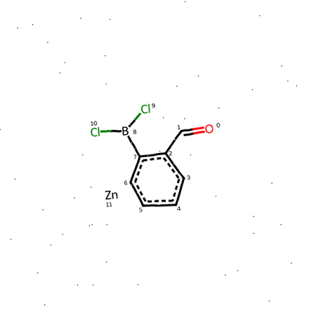 O=Cc1ccccc1B(Cl)Cl.[Zn]